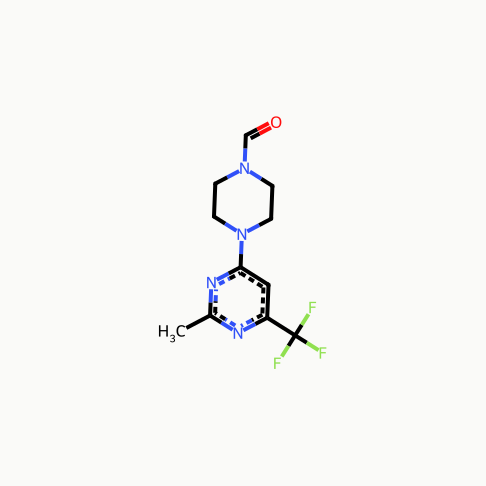 Cc1nc(N2CCN(C=O)CC2)cc(C(F)(F)F)n1